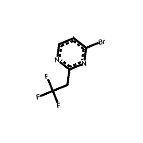 FC(F)(F)Cc1nc[c]c(Br)n1